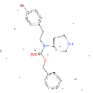 O=C(OCc1ccccc1)N(CCc1ccc(Br)cc1)C1CCNCC1